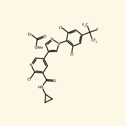 CCC(=O)OC.O=C(NC1CC1)c1cc(-c2cnn(-c3c(Cl)cc(C(F)(C(F)(F)F)C(F)(F)F)cc3Cl)c2)cnc1Cl